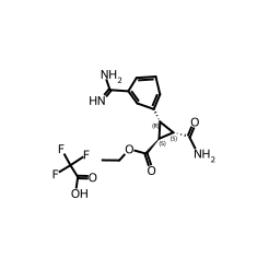 CCOC(=O)[C@@H]1[C@@H](C(N)=O)[C@H]1c1cccc(C(=N)N)c1.O=C(O)C(F)(F)F